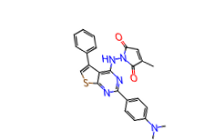 CC1=CC(=O)N(Nc2nc(-c3ccc(N(C)C)cc3)nc3scc(-c4ccccc4)c23)C1=O